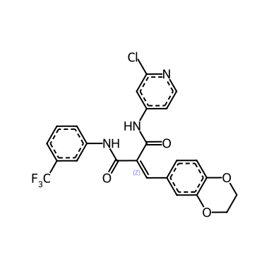 O=C(Nc1cccc(C(F)(F)F)c1)/C(=C/c1ccc2c(c1)OCCO2)C(=O)Nc1ccnc(Cl)c1